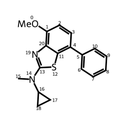 COc1ccc(-c2ccccc2)c2sc(N(C)C3CC3)nc12